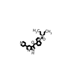 CCCN(CCC)C(=O)n1ccc2c(C(=O)c3c[nH]c4ncc(-c5ccncc5)cc34)cccc21